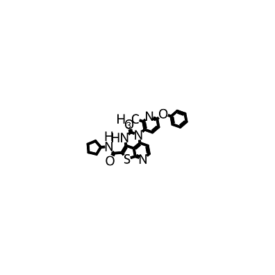 Cc1nc(Oc2ccccc2)ccc1N1C(=O)Nc2c(C(=O)NC3CCCC3)sc3nccc1c23